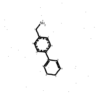 NCc1ccc(C2=CCCC=C2)cc1